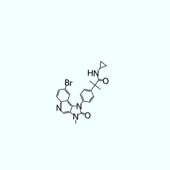 Cn1c(=O)n(-c2ccc(C(C)(C)C(=O)NC3CC3)cc2)c2c3cc(Br)ccc3ncc21